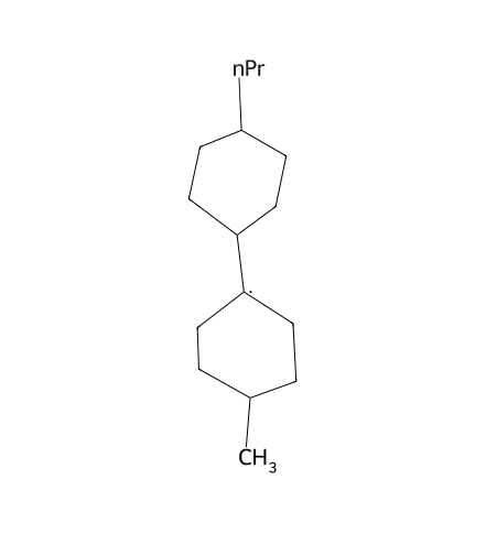 CCCC1CCC([C]2CCC(C)CC2)CC1